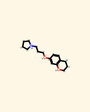 c1cc2c(cc1OCCCN1CCCC1)OCCC2